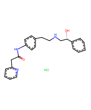 Cl.O=C(Cc1ccccn1)Nc1ccc(CCNC[C@H](O)c2ccccc2)cc1